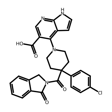 O=C(O)c1cnc2[nH]ccc2c1N1CCC(C(=O)N2Cc3ccccc3C2=O)(c2ccc(Cl)cc2)CC1